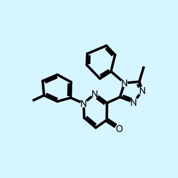 Cc1cccc(-n2ccc(=O)c(-c3nnc(C)n3-c3ccccc3)n2)c1